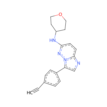 C#Cc1ccc(-c2cnc3ccc(NC4CCOCC4)nn23)cc1